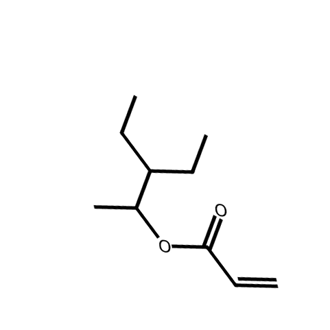 C=CC(=O)OC(C)C(CC)CC